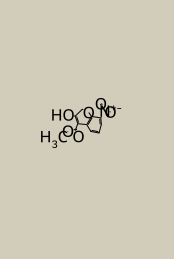 COC(=O)C1=C(O)COc2c1cccc2[N+](=O)[O-]